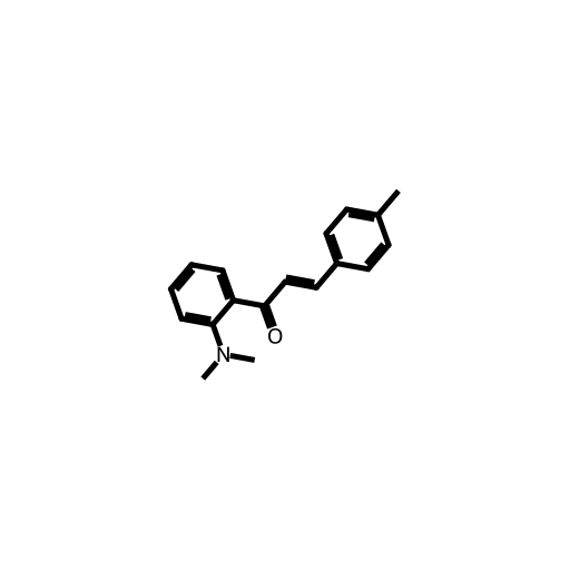 Cc1ccc(C=CC(=O)c2ccccc2N(C)C)cc1